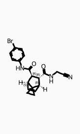 N#CCNC(=O)[C@H]1[C@H](C(=O)Nc2ccc(Br)cc2)[C@@H]2C=C[C@H]1C21CC1